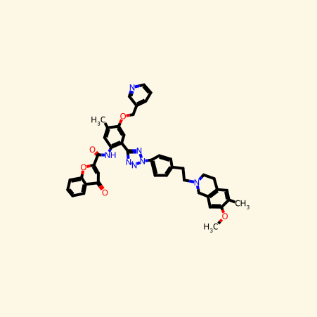 COc1cc2c(cc1C)CCN(CCc1ccc(-n3nnc(-c4cc(OCc5cccnc5)c(C)cc4NC(=O)c4cc(=O)c5ccccc5o4)n3)cc1)C2